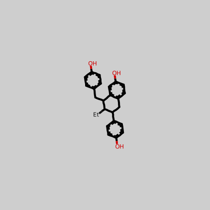 CCC1C(c2ccc(O)cc2)Cc2ccc(O)cc2C1Cc1ccc(O)cc1